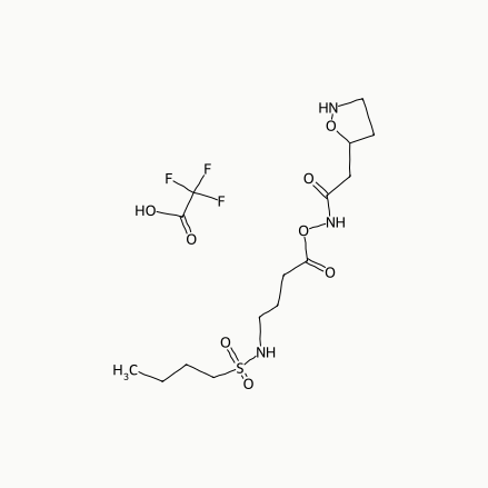 CCCCS(=O)(=O)NCCCC(=O)ONC(=O)CC1CCNO1.O=C(O)C(F)(F)F